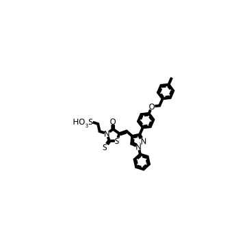 Cc1ccc(COc2ccc(-c3nn(-c4ccccc4)cc3/C=C3\SC(=S)N(CCS(=O)(=O)O)C3=O)cc2)cc1